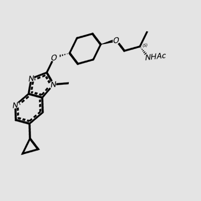 CC(=O)N[C@@H](C)CO[C@H]1CC[C@H](Oc2nc3ncc(C4CC4)cc3n2C)CC1